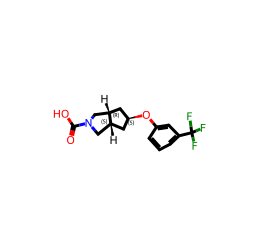 O=C(O)N1C[C@H]2C[C@H](Oc3cccc(C(F)(F)F)c3)C[C@H]2C1